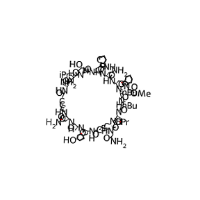 CCCC[C@H]1C(=O)N(C)[C@@H](CCCC)C(=O)N[C@@H](CC(C)C)C(=O)N[C@H](C(=O)NCC(N)=O)CSCC(=O)N[C@@H](Cc2ccc(O)cc2)C(=O)N(C)[C@@H](C)C(=O)N[C@@H](CC(N)=O)C(=O)NCCCCC(=O)N[C@@H](CN)C(=O)N[C@@H](CC(C)C)C(=O)N2C[C@H](O)C[C@H]2C(=O)N[C@@H](Cc2c[nH]c3ccccc23)C(=O)N[C@@H](CCN)C(=O)N[C@@H](Cc2cn(CC(=O)OC)c3ccccc23)C(=O)N1C